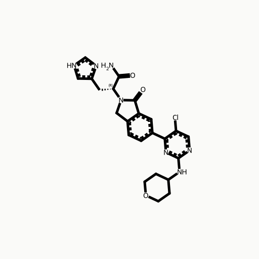 NC(=O)[C@@H](Cc1c[nH]cn1)N1Cc2ccc(-c3nc(NC4CCOCC4)ncc3Cl)cc2C1=O